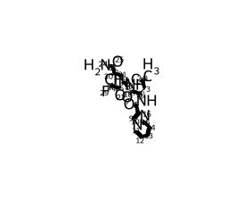 CC(C)C[C@H](NC(=O)c1cn2ccccc2n1)C(=O)NN(CCC(N)=O)C(=O)[C@H](F)Cl